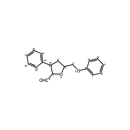 O=CC1OC(COc2ccccc2)CN1c1ccccn1